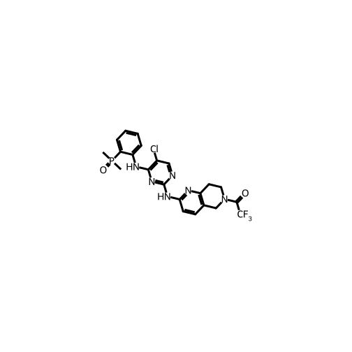 CP(C)(=O)c1ccccc1Nc1nc(Nc2ccc3c(n2)CCN(C(=O)C(F)(F)F)C3)ncc1Cl